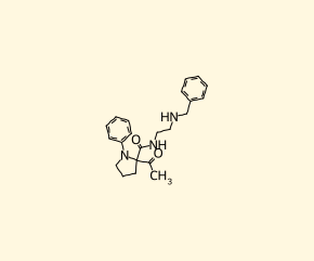 CC(=O)C1(C(=O)NCCNCc2ccccc2)CCCN1c1ccccc1